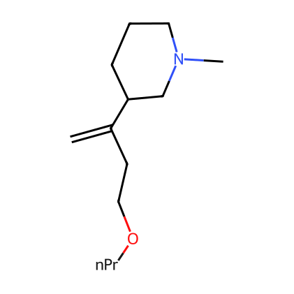 C=C(CCOCCC)C1CCCN(C)C1